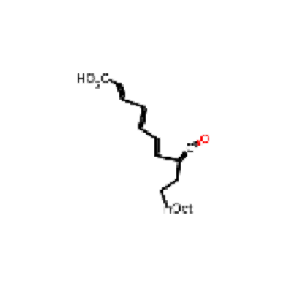 CCCCCCCCCCC(=C=O)C=CC=CC=CC(=O)O